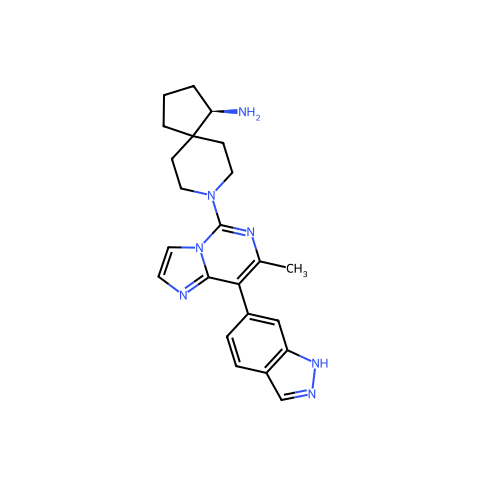 Cc1nc(N2CCC3(CCC[C@H]3N)CC2)n2ccnc2c1-c1ccc2cn[nH]c2c1